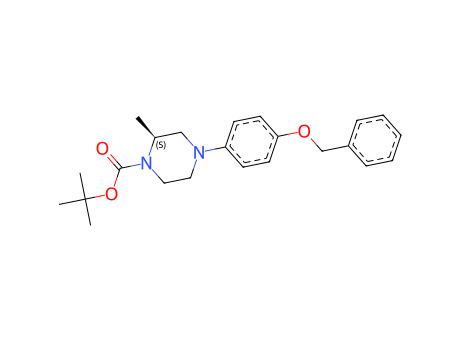 C[C@H]1CN(c2ccc(OCc3ccccc3)cc2)CCN1C(=O)OC(C)(C)C